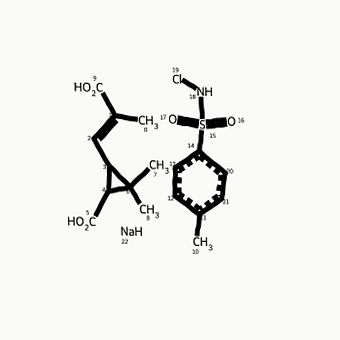 C/C(=C\C1C(C(=O)O)C1(C)C)C(=O)O.Cc1ccc(S(=O)(=O)NCl)cc1.[NaH]